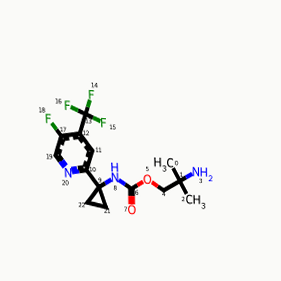 CC(C)(N)COC(=O)NC1(c2cc(C(F)(F)F)c(F)cn2)CC1